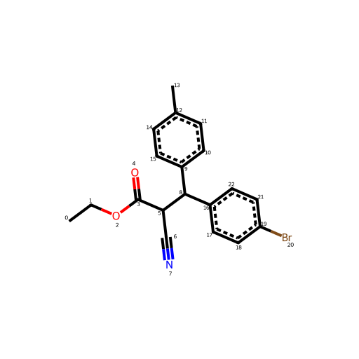 CCOC(=O)C(C#N)C(c1ccc(C)cc1)c1ccc(Br)cc1